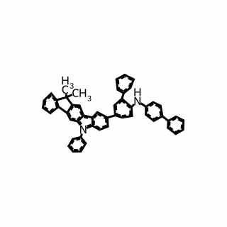 CC1(C)c2ccccc2-c2cc3c(cc21)c1cc(-c2ccc(Nc4ccc(-c5ccccc5)cc4)c(-c4ccccc4)c2)ccc1n3-c1ccccc1